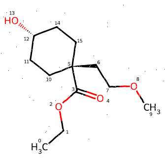 CCOC(=O)[C@]1(CCOC)CC[C@H](O)CC1